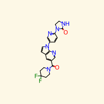 O=C(c1cnc2c(ccn2-c2ccc(N3CCNC3=O)nc2)c1)N1CCC(F)(F)CC1